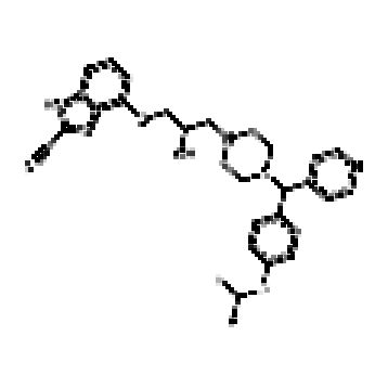 N#Cc1cc2c(OCC(O)CN3CCN(C(c4ccncc4)c4ccc(OC(F)F)cc4)CC3)cccc2[nH]1